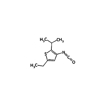 CCc1cc(N=C=O)c(C(C)C)s1